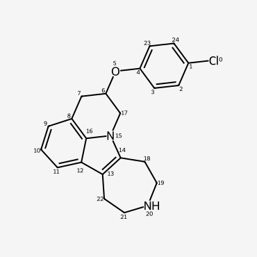 Clc1ccc(OC2Cc3cccc4c5c(n(c34)C2)CCNCC5)cc1